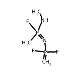 C=P(F)(F)N=P(C)(F)NC